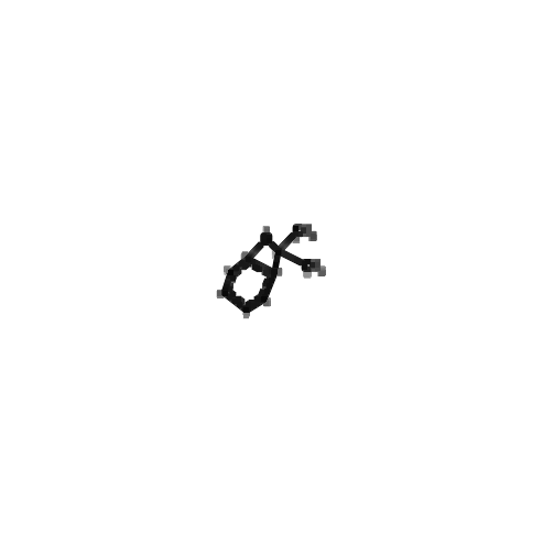 CC1(C)Oc2ccccc21